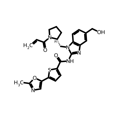 C=CC(=O)N1CCC[C@@H]1Cn1c(NC(=O)c2ccc(-c3cnc(C)o3)s2)nc2cc(CO)ccc21